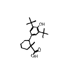 CC(C)(C)c1cc(C2CCCCC2(C)C(=O)O)cc(C(C)(C)C)c1O